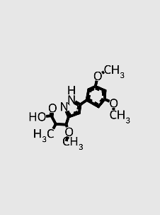 COc1cc(OC)cc(-c2cc(C(OC)C(C)C(=O)O)n[nH]2)c1